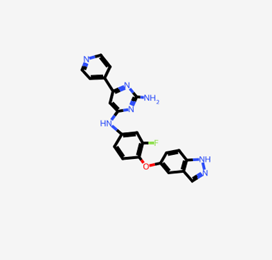 Nc1nc(Nc2ccc(Oc3ccc4[nH]ncc4c3)c(F)c2)cc(-c2ccncc2)n1